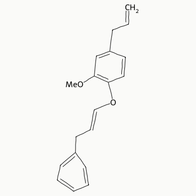 C=CCc1ccc(OC=CCc2ccccc2)c(OC)c1